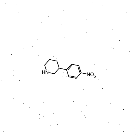 O=[N+]([O-])c1ccc(C2CCCNC2)cc1